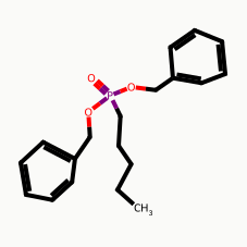 CCCCCP(=O)(OCc1ccccc1)OCc1ccccc1